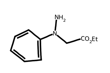 CCOC(=O)CN(N)c1ccccc1